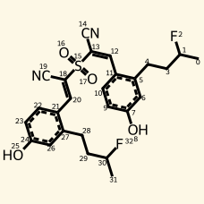 CC(F)CCc1cc(O)ccc1C=C(C#N)S(=O)(=O)C(C#N)=Cc1ccc(O)cc1CCC(C)F